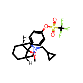 COC1(c2ccc(OS(=O)(=O)C(F)(F)F)cc2)[C@@H]2CCC[C@H]1CN(CC1CC1)C2